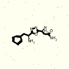 NC(=O)C[C@H](N)c1nnc([C@@H](N)Cc2ccccc2)o1